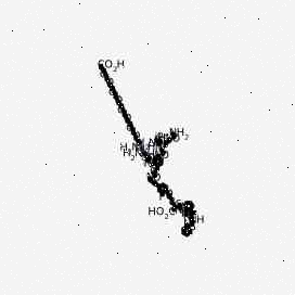 Cc1c(Nc2nc3ccccc3s2)nnc2c1CCCN2c1nc(C(=O)O)c(CCCOc2ccc(C#CCN(C)C(=O)OCc3ccc(NC(=O)[C@H](CCCNC(N)=O)NC(=O)[C@@H](N)C(C)C)cc3CN(C)C(=O)OC/C(N)=C/N(N)CCOCCOCCOCCOCCOCCOCCOCCOCCC(=O)O)cc2F)s1